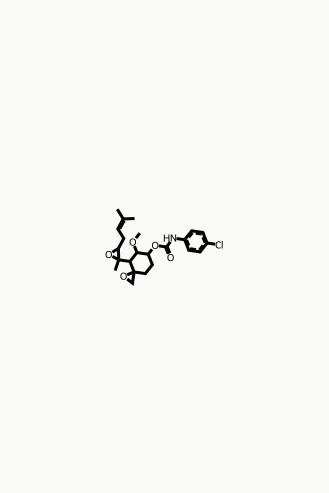 COC1C(OC(=O)Nc2ccc(Cl)cc2)CCC2(CO2)C1C1(C)OC1CC=C(C)C